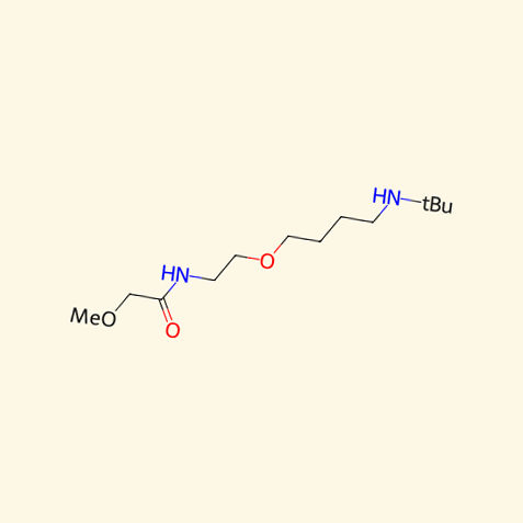 COCC(=O)NCCOCCCCNC(C)(C)C